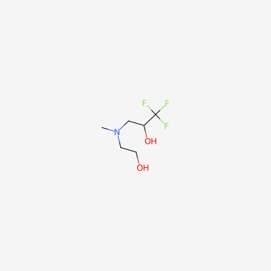 CN(CCO)CC(O)C(F)(F)F